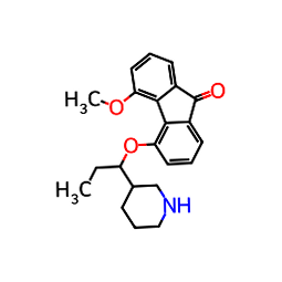 CCC(Oc1cccc2c1-c1c(OC)cccc1C2=O)C1CCCNC1